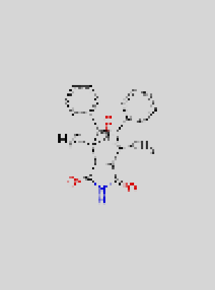 CC12C(=O)C(C)(C(c3ccccc3)=C1c1ccccc1)C1C(=O)NC(=O)C12